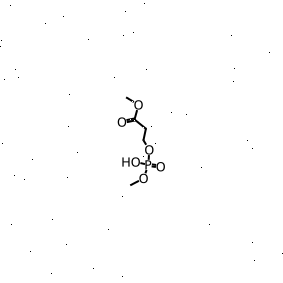 COC(=O)CCOP(=O)(O)OC